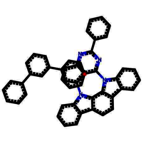 c1ccc(-c2cccc(-c3cccc(-n4c5ccccc5c5ccc6c7ccccc7n(-c7nc(-c8ccccc8)nc8ccccc78)c6c54)c3)c2)cc1